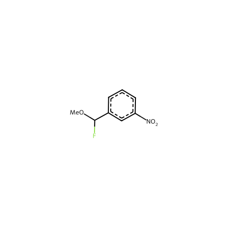 COC(F)c1cccc([N+](=O)[O-])c1